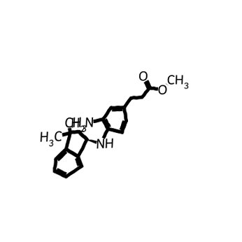 COC(=O)CCc1ccc(N[C@@H]2CC(C)(C)c3ccccc32)c(N)c1